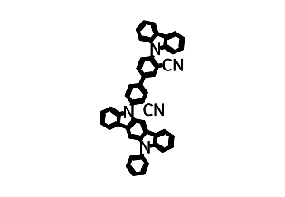 N#Cc1cc(-c2ccc(-n3c4ccccc4c4cc5c(cc43)c3ccccc3n5-c3ccccc3)c(C#N)c2)ccc1-n1c2ccccc2c2ccccc21